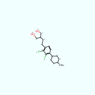 CCCCC1CCC(c2ccc(CCC(CO)CO)c(F)c2F)CC1